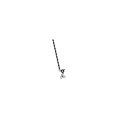 C#CC#CC#CC#CC#CC#CC#CC#CC#CC#CC#COc1cc(C)cc(COC(=O)Cl)c1